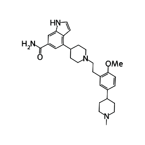 COc1ccc(C2CCN(C)CC2)cc1CCN1CCC(c2cc(C(N)=O)cc3[nH]ccc23)CC1